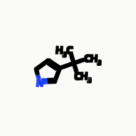 CC(C)(C)C1=CCN=C1